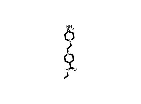 CCOC(=O)C1CCN(CCN2CCN(N)CC2)CC1